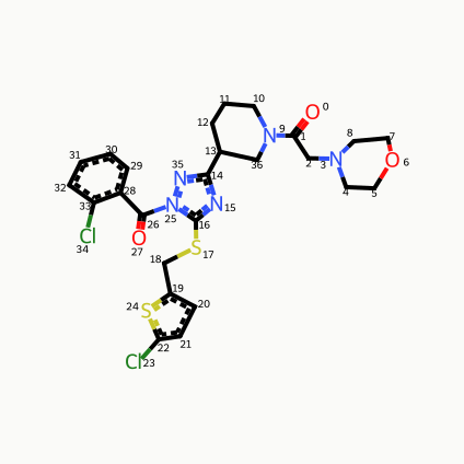 O=C(CN1CCOCC1)N1CCCC(c2nc(SCc3ccc(Cl)s3)n(C(=O)c3ccccc3Cl)n2)C1